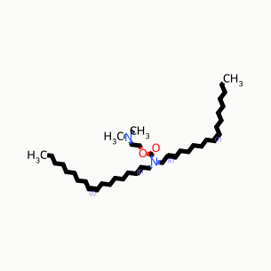 CCCCCCCC/C=C\CCCCC/C=C/CN(C/C=C/CCCCC/C=C\CCCCCCCC)C(=O)OCCN(C)C